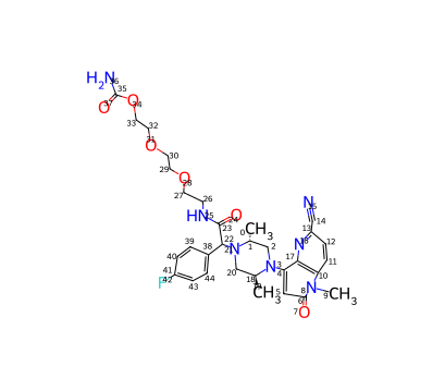 C[C@@H]1CN(c2cc(=O)n(C)c3ccc(C#N)nc23)[C@@H](C)CN1C(C(=O)NCCOCCOCCOC(N)=O)c1ccc(F)cc1